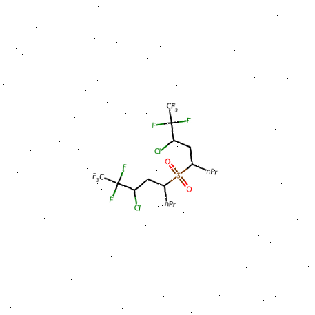 CCCC(CC(Cl)C(F)(F)C(F)(F)F)S(=O)(=O)C(CCC)CC(Cl)C(F)(F)C(F)(F)F